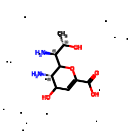 C[C@H](O)[C@H](N)C1OC(C(=O)O)=CC(O)[C@@H]1N